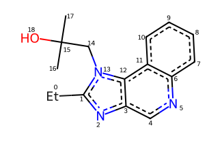 CCc1nc2cnc3ccccc3c2n1CC(C)(C)O